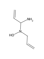 C=CCN(O)C(N)C=C